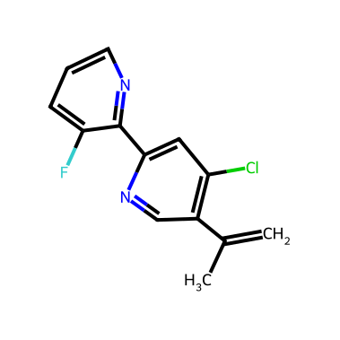 C=C(C)c1cnc(-c2ncccc2F)cc1Cl